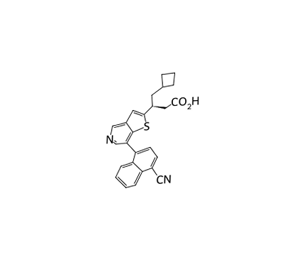 N#Cc1ccc(-c2cncc3cc([C@H](CC(=O)O)CC4CCC4)sc23)c2ccccc12